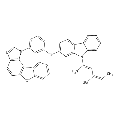 C/C=C(\C=C(/N)n1c2ccccc2c2ccc(Oc3cccc(-n4cnc5ccc6oc7ccccc7c6c54)c3)cc21)C(C)(C)C